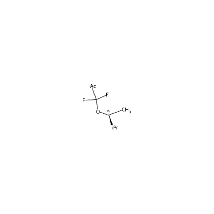 CC(=O)C(F)(F)O[C@@H](C)C(C)C